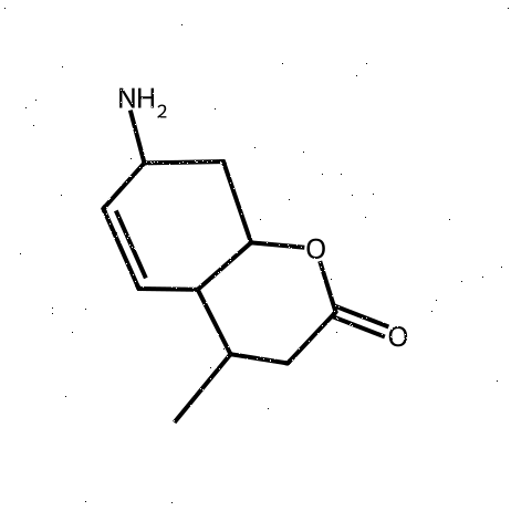 CC1CC(=O)OC2CC(N)C=CC12